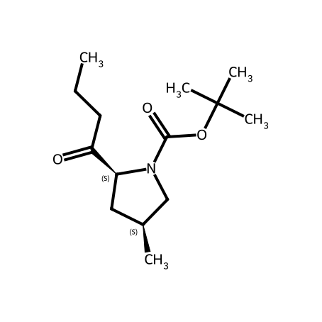 CCCC(=O)[C@@H]1C[C@H](C)CN1C(=O)OC(C)(C)C